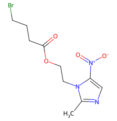 Cc1ncc([N+](=O)[O-])n1CCOC(=O)CCCBr